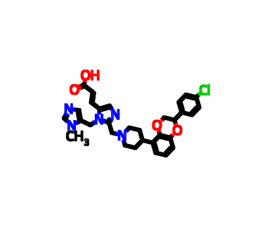 Cn1cncc1Cn1c(C=CC(=O)O)cnc1CN1CCC(c2cccc3c2OCC(c2ccc(Cl)cc2)O3)CC1